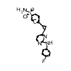 NS(=O)(=O)c1ccc(C2CC2c2ccnc(Nc3ccc(F)cc3)n2)cc1